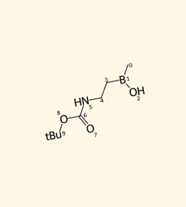 CB(O)CCNC(=O)OC(C)(C)C